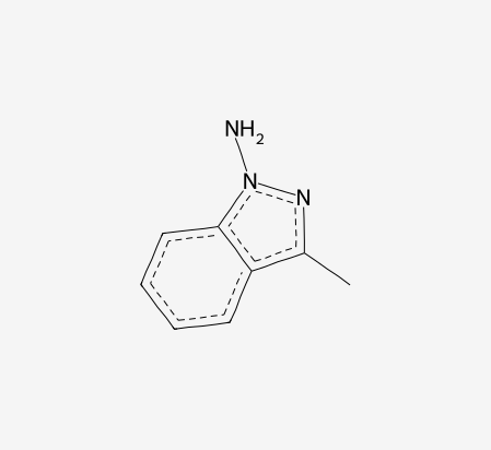 Cc1nn(N)c2ccccc12